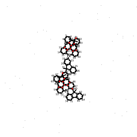 CC1(C)c2ccccc2-c2c(-c3ccccc3N(c3ccc4c(c3)-c3ccccc3C4(C)c3ccc4c(c3)sc3cccc(-c5ccccc5N(c5ccccc5-c5cccc6c5-c5ccccc5C6(C)C)c5cccc6c5C(C)(C)c5ccccc5-6)c34)c3ccccc3-c3cccc4sc5ccccc5c34)cccc21